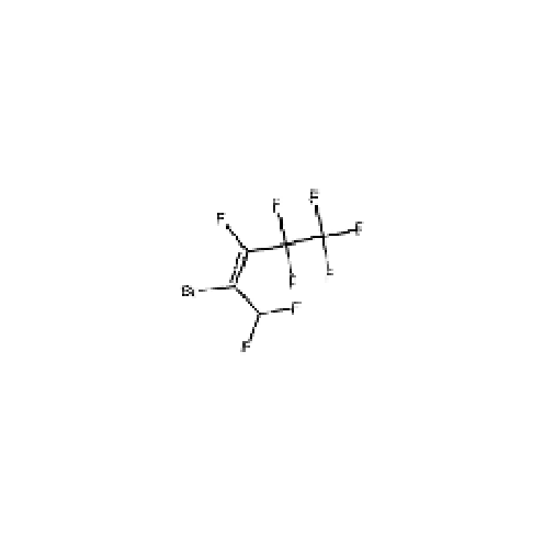 F/C(=C(\Br)C(F)F)C(F)(F)C(F)(F)F